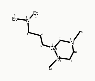 CCN(CC)CC[CH2][Ga]1[CH2]N(C)CC[N]1C